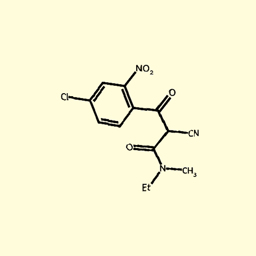 CCN(C)C(=O)C(C#N)C(=O)c1ccc(Cl)cc1[N+](=O)[O-]